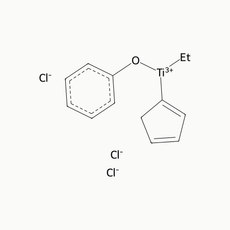 C[CH2][Ti+3]([O]c1ccccc1)[C]1=CC=CC1.[Cl-].[Cl-].[Cl-]